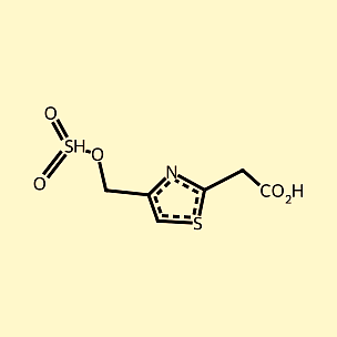 O=C(O)Cc1nc(CO[SH](=O)=O)cs1